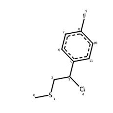 CSCC(Cl)c1ccc(F)cc1